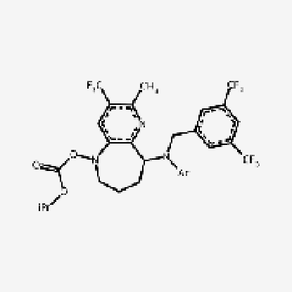 CC(=O)N(Cc1cc(C(F)(F)F)cc(C(F)(F)F)c1)C1CCCN(OC(=O)OC(C)C)c2cc(C(F)(F)F)c(C)nc21